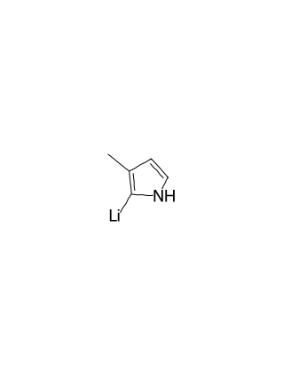 [Li][c]1[nH]ccc1C